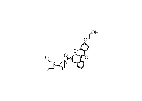 CCCN(CCOC)C(=O)CNC(=O)N1Cc2ccccc2N(C(=O)c2ccc(OCCO)cc2Cl)C[C@H]1C